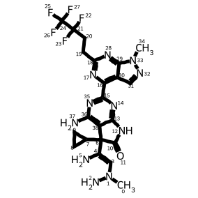 CN(N)/C=C(\N)C1(C2CC2)C(=O)Nc2nc(-c3nc(CCC(F)(F)C(F)(F)F)nc4c3cnn4C)nc(N)c21